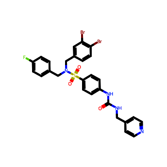 O=C(NCc1ccncc1)Nc1ccc(S(=O)(=O)N(Cc2ccc(F)cc2)Cc2ccc(Br)c(Br)c2)cc1